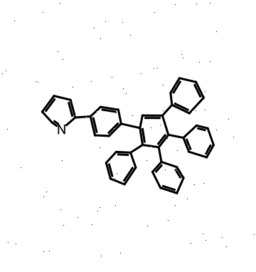 c1ccc(-c2cc(-c3ccc(-c4ccccn4)cc3)c(-c3ccccc3)c(-c3ccccc3)c2-c2ccccc2)cc1